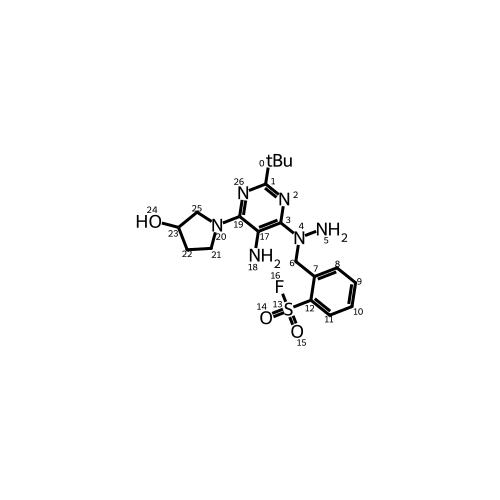 CC(C)(C)c1nc(N(N)Cc2ccccc2S(=O)(=O)F)c(N)c(N2CCC(O)C2)n1